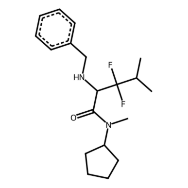 CC(C)C(F)(F)C(NCc1ccccc1)C(=O)N(C)C1CCCC1